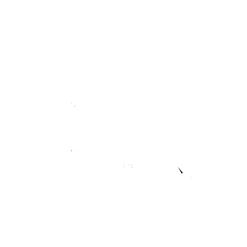 C=CCOC(=O)N1C[C@@H](OC)C[C@H]1C=C(C)C(=O)C[C@H]1NC(=O)[C@H]1[C@@H](CO[SiH](C)C)C(C)(C)C